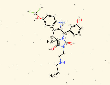 C=CCNCCN1C(=O)N2[C@H](c3cccc(O)c3)c3[nH]c4ccc(OC(F)F)cc4c3C[C@@]2(C)C1=O